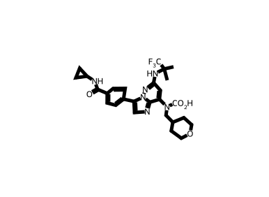 CC(C)(Nc1cc(N(CC2CCOCC2)C(=O)O)c2ncc(-c3ccc(C(=O)NC4CC4)cc3)n2n1)C(F)(F)F